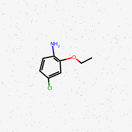 CCOc1cc(Cl)ccc1N